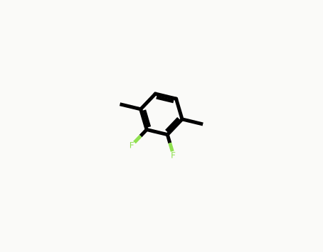 Cc1ccc(C)c(F)c1F